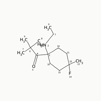 CCNC1(C(=O)C(C)(C)C)CCC(C)(F)CC1